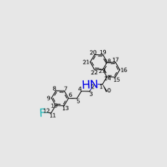 C[C@@H](NCCCc1cccc(CF)c1)c1cccc2ccccc12